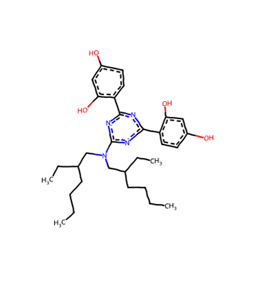 CCCCC(CC)CN(CC(CC)CCCC)c1nc(-c2ccc(O)cc2O)nc(-c2ccc(O)cc2O)n1